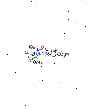 CCOC(=O)[C@@H]1CC[C@@H](N/C(=C(\C=N)C(=O)N(CCc2c(Cl)cnc(OC)c2Cl)CC(C)(C)C)C(F)(F)F)C[C@@H]1C